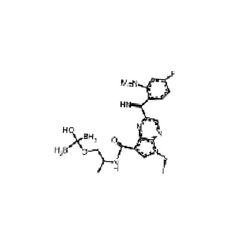 BC(B)(O)OCC(C)NC(=O)c1cn(SF)c2ncc(C(=N)c3ccc(F)cc3NC)nc12